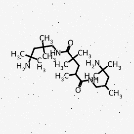 CC(CNC(=O)C(C)CC(C)(C)C(=O)NCC(C)(C)CC(C)(C)N)CC(C)(C)N